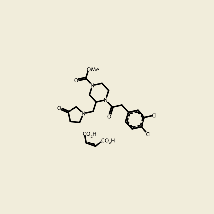 COC(=O)N1CCN(C(=O)Cc2ccc(Cl)c(Cl)c2)C(CN2CCC(=O)C2)C1.O=C(O)/C=C\C(=O)O